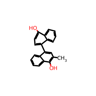 Cc1cc(-c2ccc(O)c3ccccc23)c2ccccc2c1O